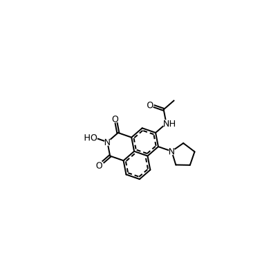 CC(=O)Nc1cc2c3c(cccc3c1N1CCCC1)C(=O)N(O)C2=O